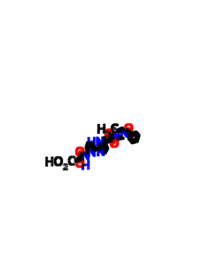 C[C@@H]1CN(C(=O)c2ccccc2)CCN1C(=O)C(=O)c1c[nH]c2c(-c3cccc(NC(=O)C4OC4C(=O)O)n3)nccc12